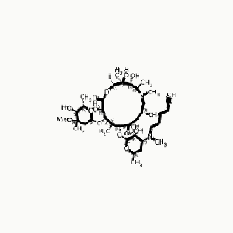 C#CCCCCN(C)[C@H]1C[C@@H](C)O[C@@H](O[C@@H]2[C@@H](C)[C@H](O[C@@H]3C[C@@](C)(OC)[C@@H](O)[C@H](C)O3)[C@@H](C)C(=O)O[C@H](I)[C@@](C)(O)[C@H](O)[C@@H](C)N(C)C[C@H](C)C[C@@]2(C)O)[C@@H]1O